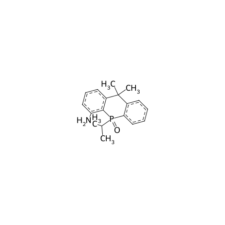 CC(C)P1(=O)c2ccccc2C(C)(C)c2cccc(N)c21